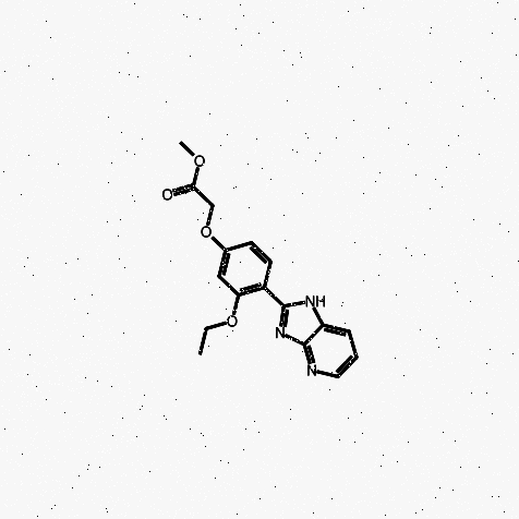 CCOc1cc(OCC(=O)OC)ccc1-c1nc2ncccc2[nH]1